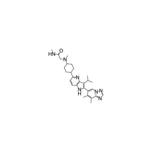 CNC(=O)CN(C)C1CCC(c2ccc3[nH]c(-c4cn5ncnc5c(C)c4C)c(C(C)C)c3n2)CC1